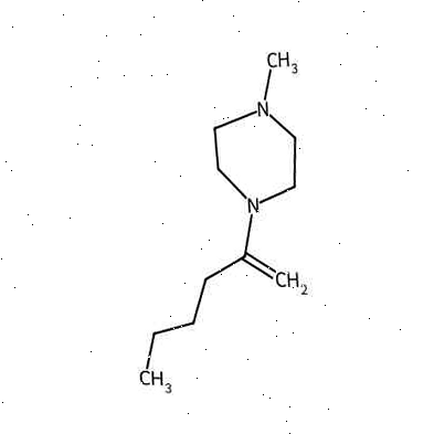 C=C(CCCC)N1CCN(C)CC1